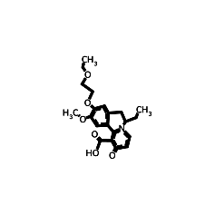 CCOCCOc1cc2c(cc1OC)-c1c(C(=O)O)c(=O)ccn1C(CC)C2